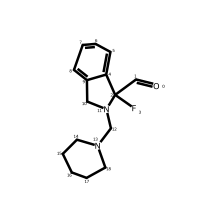 O=CC1(F)c2ccccc2CN1CN1CCCCC1